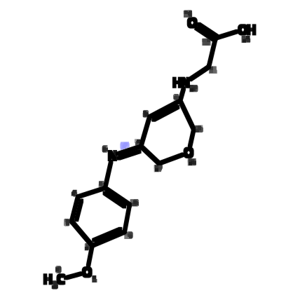 COc1ccc(/N=C2/C=C(NCC(=O)O)COC2)cc1